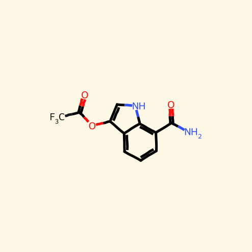 NC(=O)c1cccc2c(OC(=O)C(F)(F)F)c[nH]c12